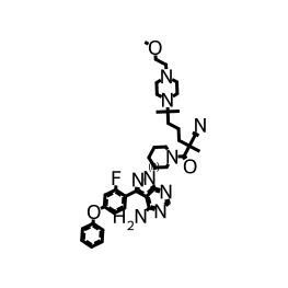 COCCN1CCN(C(C)(C)CCCC(C)(C#N)C(=O)N2CCC[C@@H](n3nc(-c4ccc(Oc5ccccc5)cc4F)c4c(N)ncnc43)C2)CC1